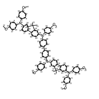 COc1ccc(N(c2ccc(OC)cc2)c2ccc3c(c2)C(C)(C)c2cc(N(c4ccc(OC)cc4)c4ccc(-c5ccc(N(c6ccc(OC)cc6)c6ccc7c(c6)C(C)(C)c6cc(N(c8ccc(OC)cc8)c8ccc(OC)cc8)ccc6-7)cc5)cc4)ccc2-3)cc1